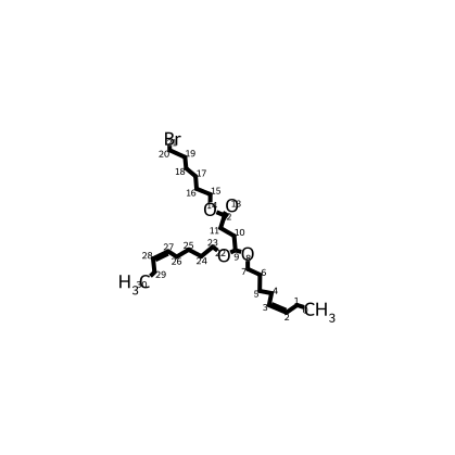 CC/C=C\CCCCOC(CCC(=O)OCCCCCCBr)OCCCC/C=C\CC